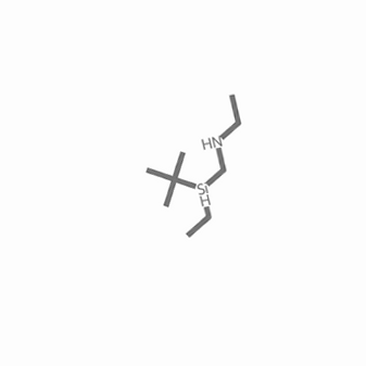 CCNC[SiH](CC)C(C)(C)C